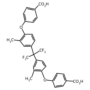 Cc1cc(C(c2ccc(Oc3ccc(C(=O)O)cc3)c(C)c2)(C(F)(F)F)C(F)(F)F)ccc1Oc1ccc(C(=O)O)cc1